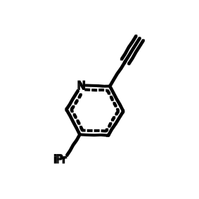 C#Cc1ccc(C(C)C)cn1